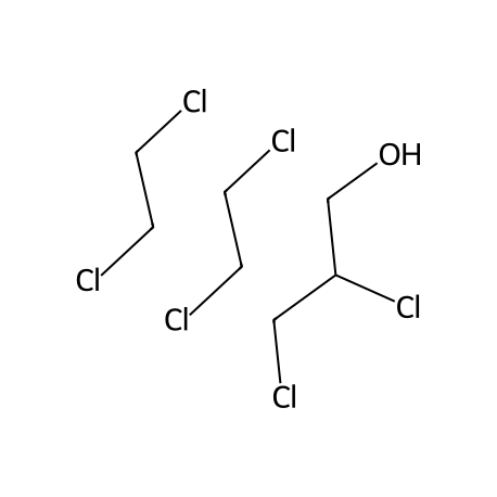 ClCCCl.ClCCCl.OCC(Cl)CCl